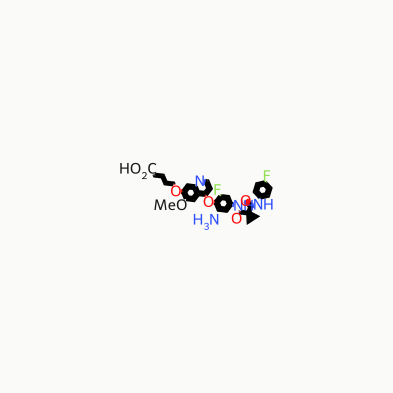 COc1cc2c(Oc3ccc(NC(=O)C4(C(=O)Nc5ccc(F)cc5)CC4)cc3F)ccnc2cc1OCCCCC(=O)O.N